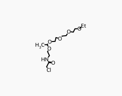 CCOCCOCCOCCOC(C)OCCNC(=O)CCl